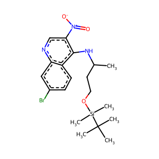 CC(CCO[Si](C)(C)C(C)(C)C)Nc1c([N+](=O)[O-])cnc2cc(Br)ccc12